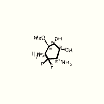 CO[C@H]1[C@H](O)[C@@H](O)[C@H](N)C(F)(F)[C@@H]1N